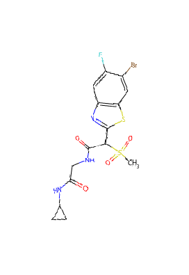 CS(=O)(=O)C(C(=O)NCC(=O)NC1CC1)c1nc2cc(F)c(Br)cc2s1